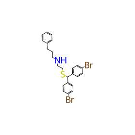 Brc1ccc(C(SCCNCCCc2ccccc2)c2ccc(Br)cc2)cc1